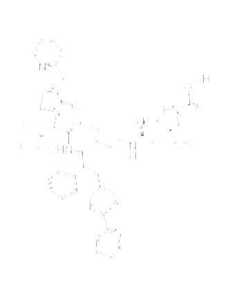 COC(=O)NCC(C)(C)CC(=O)NCCC(O)C(NC(=O)C(N1CCN(Cc2ccccn2)C1=O)C(C)(C)C)C(Cc1ccc(-c2ccccn2)cc1)c1ccccc1